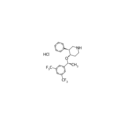 C[C@H](O[C@@H]1CCNC[C@@H]1c1ccccc1)c1cc(C(F)(F)F)cc(C(F)(F)F)c1.Cl